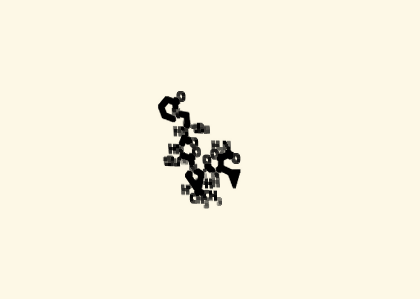 CC(C)(C)[C@H](NC(=O)N[C@H](CN1CCCCC1=O)C(C)(C)C)C(=O)N1C[C@H]2[C@@H]([C@H]1C(=O)NC(C(=O)C(N)=O)C1CC1)C2(C)C